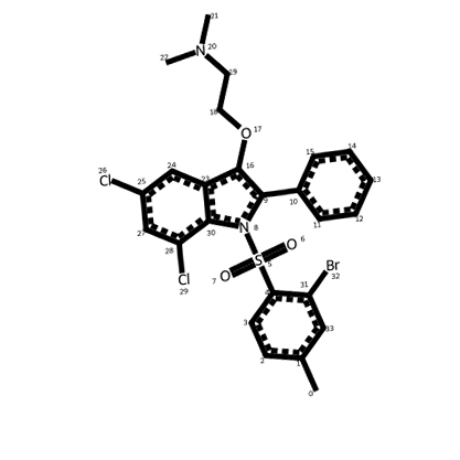 Cc1ccc(S(=O)(=O)n2c(-c3ccccc3)c(OCCN(C)C)c3cc(Cl)cc(Cl)c32)c(Br)c1